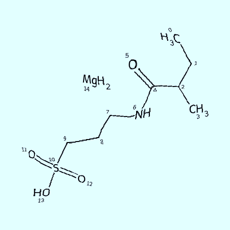 CCC(C)C(=O)NCCCS(=O)(=O)O.[MgH2]